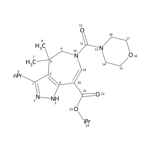 CCCc1n[nH]c2c1C(C)(C)CN(C(=O)N1CCOCC1)C=C2C(=O)OC(C)C